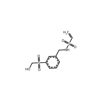 C=CS(=O)(=O)NCc1cccc(S(=O)(=O)CO)c1